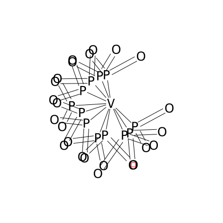 O=[P](=O)[V]([P](=O)=O)([P](=O)=O)([P](=O)=O)([P](=O)=O)([P](=O)=O)([P](=O)=O)([P](=O)=O)([P](=O)=O)([P](=O)=O)([P](=O)=O)[P](=O)=O